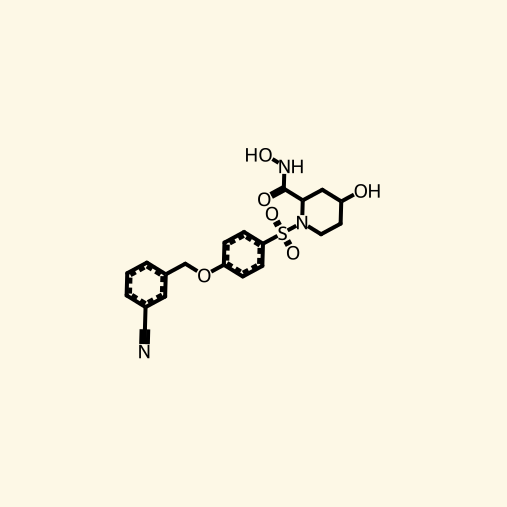 N#Cc1cccc(COc2ccc(S(=O)(=O)N3CCC(O)CC3C(=O)NO)cc2)c1